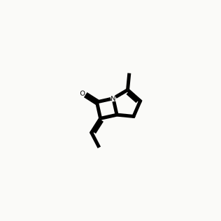 C/C=C1/C(=O)N2C(C)=CCC12